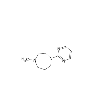 CN1CCCN(c2ncccn2)CC1